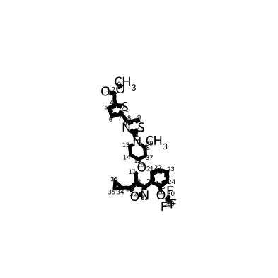 COC(=O)c1ccc(-c2csc(N3CC[C@@H](OCc4c(-c5ccccc5OC(F)(F)F)noc4C4CC4)C[C@H]3C)n2)s1